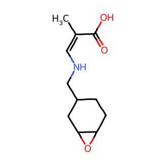 CC(=CNCC1CCC2OC2C1)C(=O)O